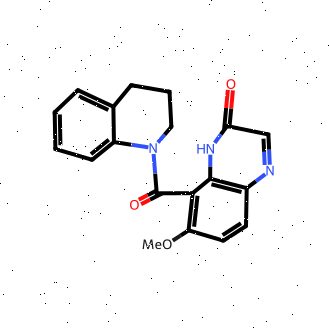 COc1ccc2ncc(=O)[nH]c2c1C(=O)N1CCCc2ccccc21